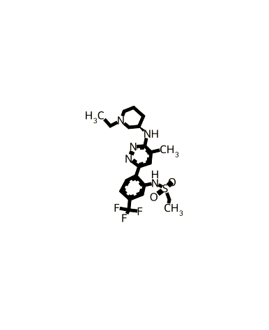 CCN1CCC[C@@H](Nc2nnc(-c3ccc(C(F)(F)F)cc3NS(=O)(=O)CC)cc2C)C1